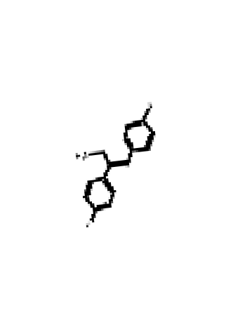 NCC(=Cc1ccc(Br)cc1)c1ccc(Br)cc1